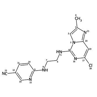 Cc1cn2c(NCCNc3ccc(C#N)cn3)nc(Cl)cc2n1